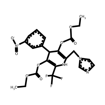 CCOC(=O)OC1=C(Cn2ccnc2)NC(C(F)(F)F)=C(OC(=O)OCC)C1c1cccc([N+](=O)[O-])c1